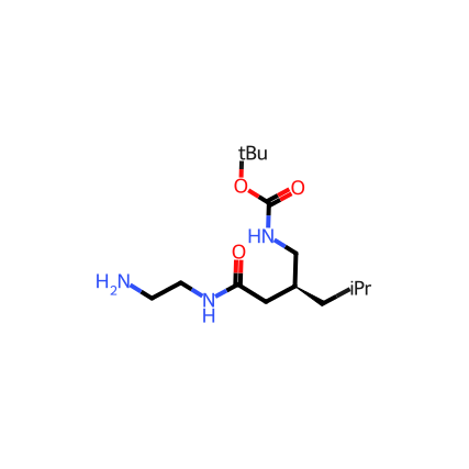 CC(C)C[C@H](CNC(=O)OC(C)(C)C)CC(=O)NCCN